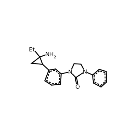 CCC1(N)CC1c1cccc(N2CCN(c3ccccc3)C2=O)c1